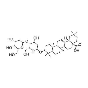 CC1(C)CC[C@]2(C(=O)O)CCC3C(=CCC4[C@@]3(C)CCC3C(C)(C)[C@@H](OC5C[C@@H](O)[C@@H](OC6C[C@@H](O)[C@@H](O)[C@@H](CO)O6)[C@@H](CO)O5)CC[C@@]34C)[C@@H]2C1